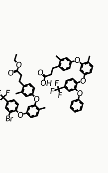 CCOC(=O)CCc1ccc(Oc2cc(Oc3ccc(C(F)(F)F)cc3Br)ccc2C)cc1C.Cc1cc(Oc2cc(Oc3ccc(C(F)(F)F)cc3Oc3ccccc3)ccc2C)ccc1CCC(=O)O